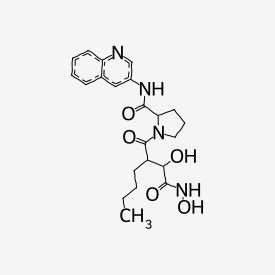 CCCCC(C(=O)N1CCCC1C(=O)Nc1cnc2ccccc2c1)C(O)C(=O)NO